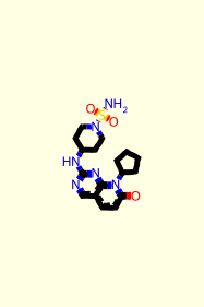 NS(=O)(=O)N1CCC(Nc2ncc3ccc(=O)n(C4CCCC4)c3n2)CC1